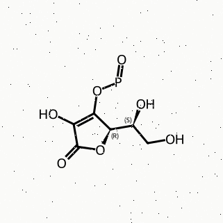 O=POC1=C(O)C(=O)O[C@@H]1[C@@H](O)CO